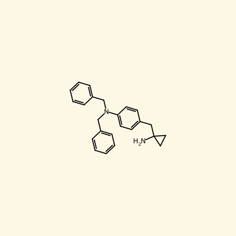 NC1(Cc2ccc(N(Cc3ccccc3)Cc3ccccc3)cc2)CC1